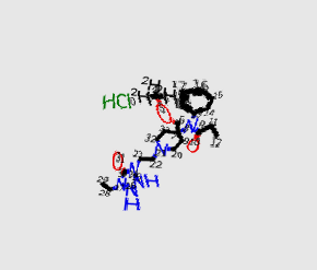 Cl.[2H]C([2H])([2H])OCC1(N(C(=O)CC)c2ccccc2)CCN(CCN2NNN(CC)C2=O)CC1